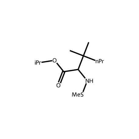 CCCC(C)(C)C(NSC)C(=O)OC(C)C